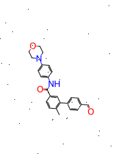 Cc1ccc(C(=O)Nc2ccc(N3CCOCC3)cc2)cc1-c1ccc(C=O)cc1